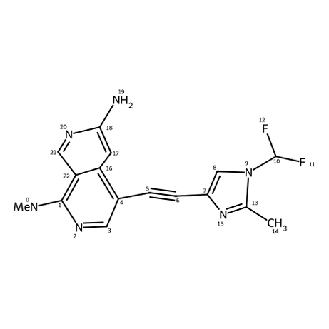 CNc1ncc(C#Cc2cn(C(F)F)c(C)n2)c2cc(N)ncc12